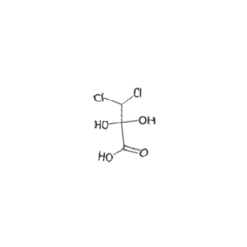 O=C(O)C(O)(O)C(Cl)Cl